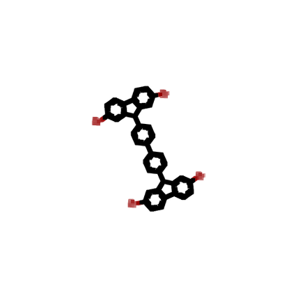 Brc1ccc2c(c1)C(c1ccc(-c3ccc(C4c5cc(Br)ccc5-c5ccc(Br)cc54)cc3)cc1)c1cc(Br)ccc1-2